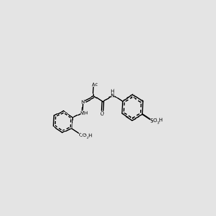 CC(=O)/C(=N/Nc1ccccc1C(=O)O)C(=O)Nc1ccc(S(=O)(=O)O)cc1